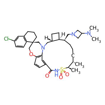 C[C@@H]1[C@@H](C)CCC[C@H](CN2CC(N(C)C)C2)[C@@H]2CC[C@H]2CN2C[C@@]3(CCCc4cc(Cl)ccc43)COc3ccc(cc32)C(=O)NS1(=O)=O